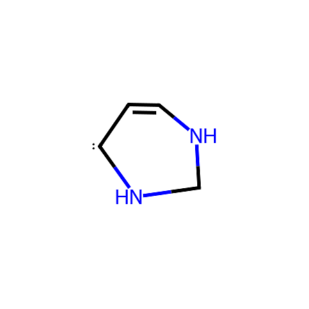 [C]1C=CNCN1